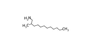 CCCCCCCCCCC(C)CN